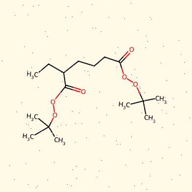 CCC(CCCC(=O)OOC(C)(C)C)C(=O)OOC(C)(C)C